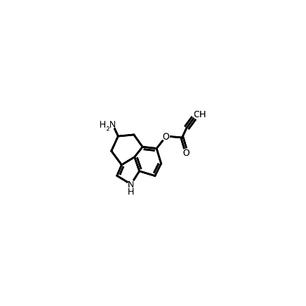 C#CC(=O)Oc1ccc2[nH]cc3c2c1CC(N)C3